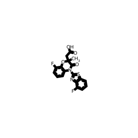 CC1(CC(=O)O)Oc2c(F)cccc2N(c2nc3c(F)cccc3s2)C1=O